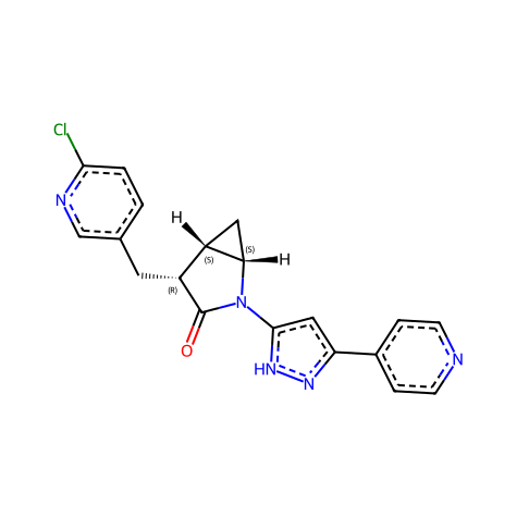 O=C1[C@H](Cc2ccc(Cl)nc2)[C@@H]2C[C@@H]2N1c1cc(-c2ccncc2)n[nH]1